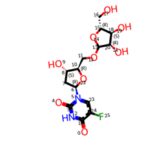 O=c1[nH]c(=O)n([C@H]2C[C@H](O)[C@@H](COC3O[C@H](CO)[C@@H](O)[C@H]3O)O2)cc1F